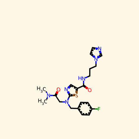 CN(C)C(=O)CN(Cc1ccc(F)cc1)c1ncc(C(=O)NCCCn2ccnc2)s1